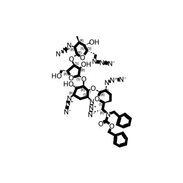 C[C@H]1[C@H](O)[C@H](CN=[N+]=[N-])O[C@H](O[C@H]2[C@@H](O)[C@H](O[C@@H]3[C@@H](O)[C@H](N=[N+]=[N-])C[C@H](N=[N+]=[N-])[C@H]3O[C@H]3O[C@H]([C@@H](C)N(Cc4ccccc4)C(=O)OCc4ccccc4)CC[C@H]3N=[N+]=[N-])O[C@@H]2CO)[C@@H]1N=[N+]=[N-]